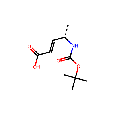 C[C@@H](C=CC(=O)O)NC(=O)OC(C)(C)C